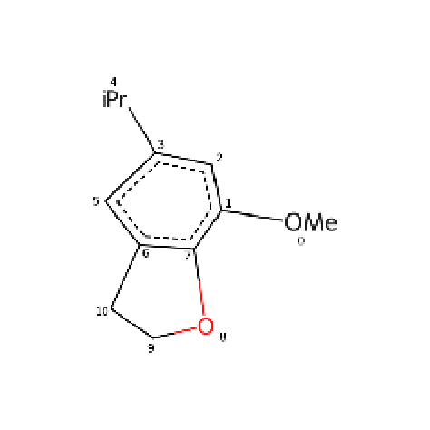 COc1cc(C(C)C)cc2c1OCC2